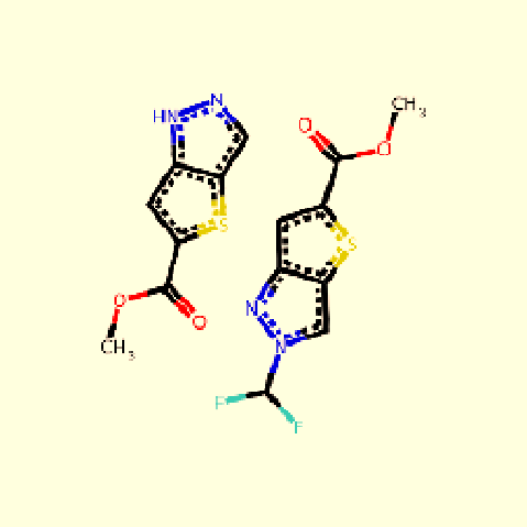 COC(=O)c1cc2[nH]ncc2s1.COC(=O)c1cc2nn(C(F)F)cc2s1